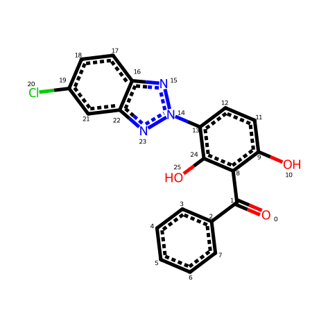 O=C(c1ccccc1)c1c(O)ccc(-n2nc3ccc(Cl)cc3n2)c1O